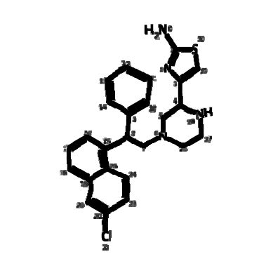 Nc1nc(C2CN(CC(c3ccccc3)c3cccc4cc(Cl)ccc34)CCN2)cs1